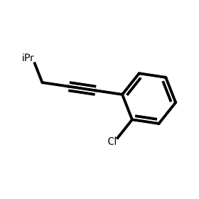 CC(C)CC#Cc1ccccc1Cl